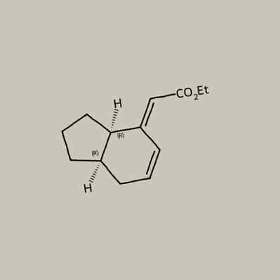 CCOC(=O)C=C1C=CC[C@H]2CCC[C@@H]12